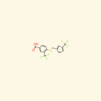 O=C(O)c1ccc(SCc2cccc(C(F)(F)F)c2)c(C(F)(F)F)c1